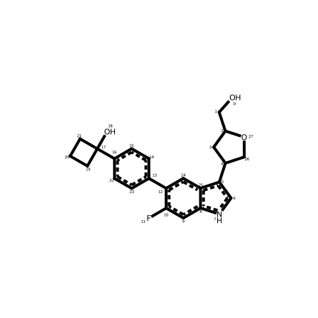 OCC1CC(c2c[nH]c3cc(F)c(-c4ccc(C5(O)CCC5)cc4)cc23)CO1